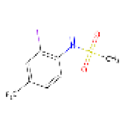 CS(=O)(=O)Nc1ccc(C(F)(F)F)cc1I